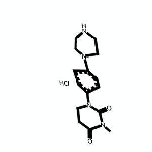 CN1C(=O)CCN(c2ccc(N3CCNCC3)cc2)C1=O.Cl